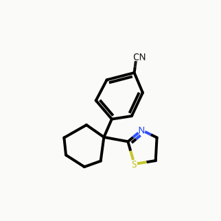 N#Cc1ccc(C2(C3=NCCS3)CCCCC2)cc1